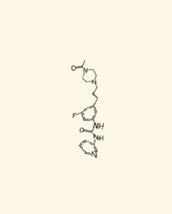 CC(=O)N1CCN(CCCc2cc(F)cc(NC(=O)Nc3cccnc3)c2)CC1